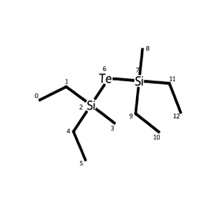 CC[Si](C)(CC)[Te][Si](C)(CC)CC